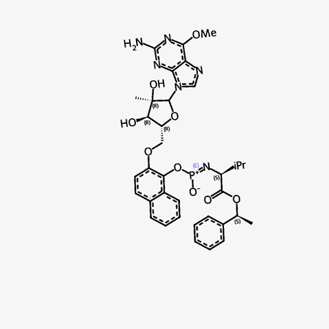 COc1nc(N)nc2c1ncn2C1O[C@H](COc2ccc3ccccc3c2O/[P+]([O-])=N/[C@H](C(=O)O[C@@H](C)c2ccccc2)C(C)C)[C@@H](O)[C@@]1(C)O